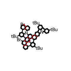 CC(C)(C)c1cc(-c2ccccc2)c(N(c2cccc(Br)c2)c2cc(-c3ccc4c(c3)c3cc(C(C)(C)C)cc5c6cc(C(C)(C)C)ccc6n4c35)cc(N(c3cccc(Br)c3)c3c(-c4ccccc4)cc(C(C)(C)C)cc3-c3ccccc3)c2)c(-c2ccccc2)c1